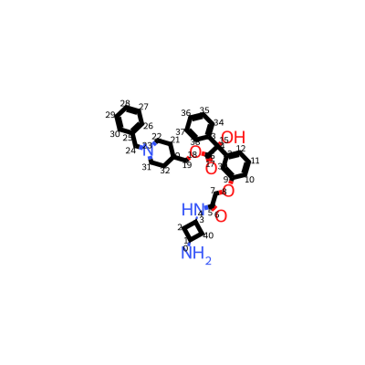 N[C@H]1C[C@H](NC(=O)COc2cccc(C(O)(C(=O)OCC3CCN(Cc4ccccc4)CC3)c3ccccc3)c2)C1